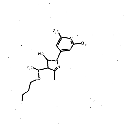 CC1=NN(c2cc(C(F)(F)F)nc(C(F)(F)F)c2)C(O)C1C(OCCCI)C(F)(F)F